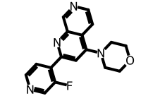 Fc1cnccc1-c1cc(N2CCOCC2)c2ccncc2n1